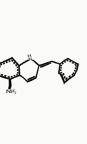 Nc1cccc2c1C=CC(=Cc1ccccc1)N2